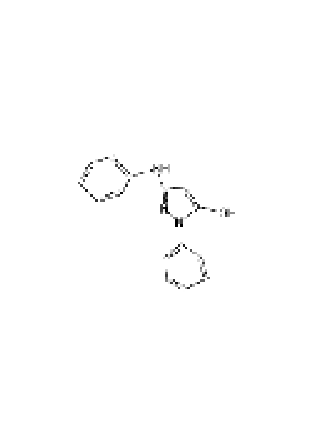 Oc1cc(Nc2cc[c]cc2)nn1-c1ccccc1